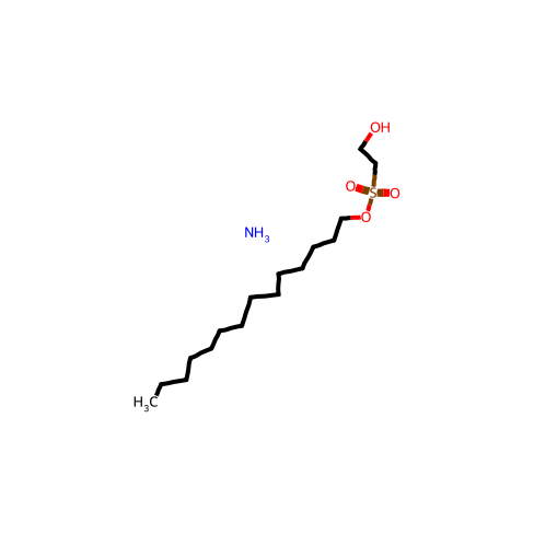 CCCCCCCCCCCCCCOS(=O)(=O)CCO.N